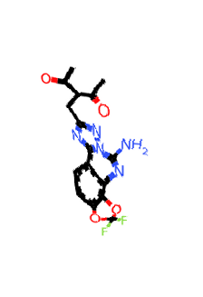 CC(=O)C(Cc1nc2c3ccc4c(c3nc(N)n2n1)OC(F)(F)O4)C(C)=O